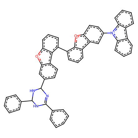 c1ccc(C2=NC(c3ccc4c(c3)oc3cccc(-c5cccc6c5oc5ccc(-n7c8ccccc8c8ccccc87)cc56)c34)NC(c3ccccc3)N2)cc1